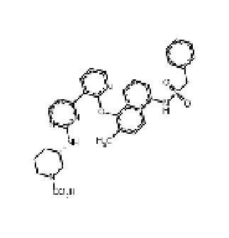 Cc1ccc2c(NS(=O)(=O)Cc3ccccc3)cccc2c1Oc1ncccc1-c1ccnc(N[C@H]2CCCN(C(=O)O)C2)n1